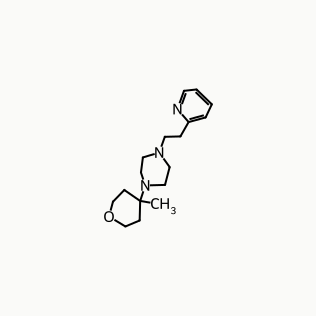 CC1(N2CCN(CCc3ccccn3)CC2)CCOCC1